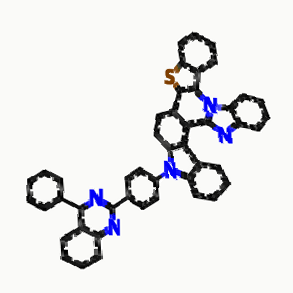 c1ccc(-c2nc(-c3ccc(-n4c5ccccc5c5c6c(ccc54)c4sc5ccccc5c4n4c5ccccc5nc64)cc3)nc3ccccc23)cc1